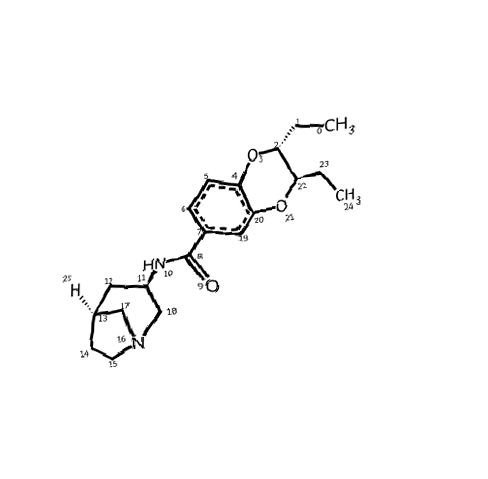 CC[C@H]1Oc2ccc(C(=O)N[C@@H]3C[C@@H]4CCN(C4)C3)cc2O[C@@H]1CC